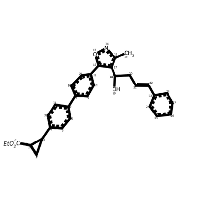 CCOC(=O)C1CC1c1ccc(-c2ccc(-c3onc(C)c3C(O)CC=Cc3ccccc3)cc2)cc1